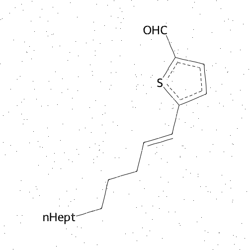 CCCCCCCCCCC=Cc1ccc(C=O)s1